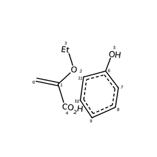 C=C(OCC)C(=O)O.Oc1ccccc1